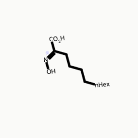 CCCCCCCCCC/C(=N\O)C(=O)O